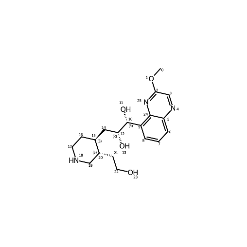 COc1cnc2cccc([C@@H](O)[C@H](O)C[C@@H]3CCNC[C@H]3CCO)c2n1